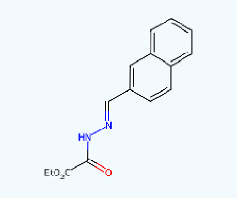 CCOC(=O)C(=O)N/N=C/c1ccc2ccccc2c1